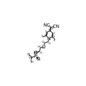 CC1=CC(=C(C#N)C#N)C=C(C)N1CCOCCO[PH](=O)C(I)I